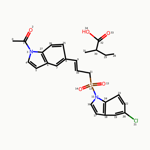 CC(=O)n1ccc2cc(C=CCS(=O)(=O)n3ccc4cc(Cl)ccc43)ccc21.CCC(C)C(=O)O